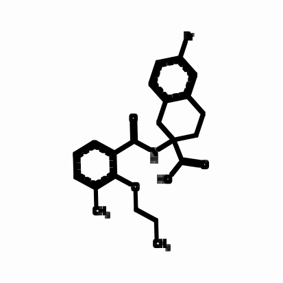 CCCOc1c(C)cccc1C(=O)NC1(C(=O)O)CCc2cc(Br)ccc2C1